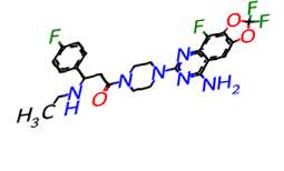 CCNC(CC(=O)N1CCN(c2nc(N)c3cc4c(c(F)c3n2)OC(F)(F)O4)CC1)c1ccc(F)cc1